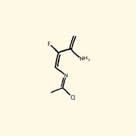 C=C(N)/C(F)=C\N=C(/C)Cl